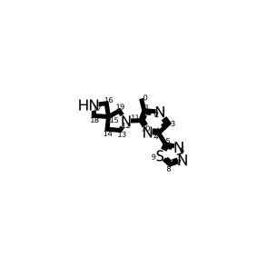 Cc1ncc(-c2nncs2)nc1N1CCC2(CNC2)C1